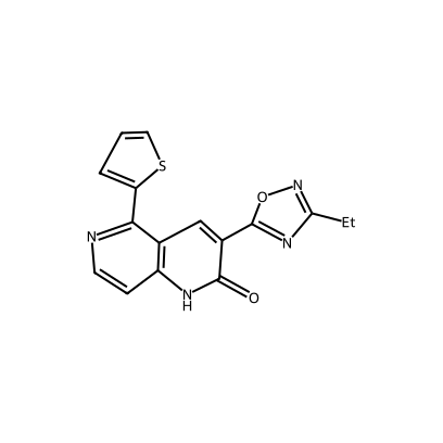 CCc1noc(-c2cc3c(-c4cccs4)nccc3[nH]c2=O)n1